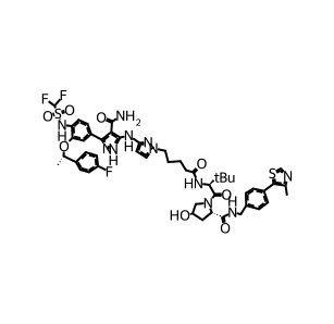 Cc1ncsc1-c1ccc(CNC(=O)[C@@H]2C[C@@H](O)CN2C(=O)[C@@H](NC(=O)CCCCn2ccc(Nc3[nH]nc(-c4ccc(NS(=O)(=O)C(F)F)c(O[C@@H](C)c5ccc(F)cc5)c4)c3C(N)=O)n2)C(C)(C)C)cc1